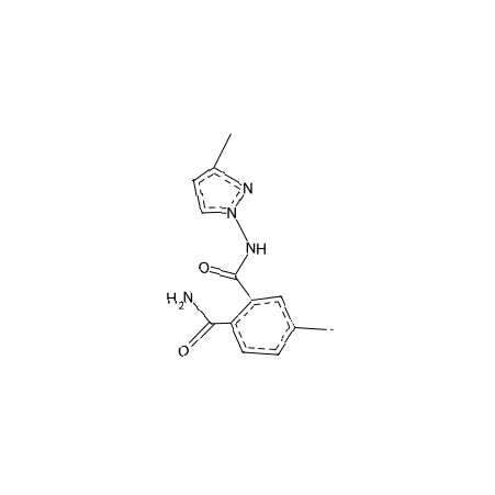 [CH2]c1ccc(C(N)=O)c(C(=O)Nn2ccc(C)n2)c1